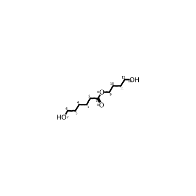 O=C(CCCCCO)OCCCCO